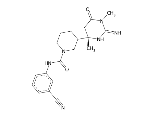 CN1C(=N)N[C@](C)(C2CCCN(C(=O)Nc3cccc(C#N)c3)C2)CC1=O